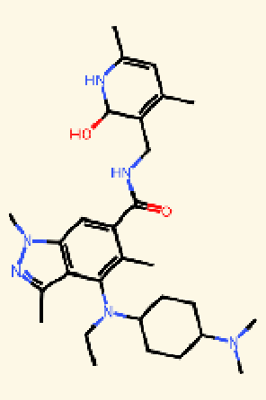 CCN(c1c(C)c(C(=O)NCC2=C(C)C=C(C)NC2O)cc2c1c(C)nn2C)C1CCC(N(C)C)CC1